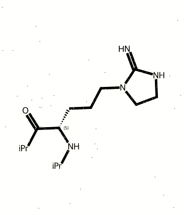 CC(C)N[C@@H](CCCN1CCNC1=N)C(=O)C(C)C